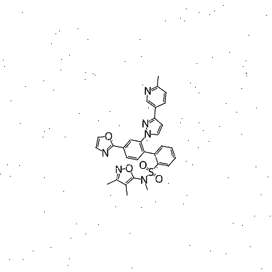 Cc1ccc(-c2ccn(-c3cc(-c4ncco4)ccc3-c3ccccc3S(=O)(=O)N(C)c3onc(C)c3C)n2)cn1